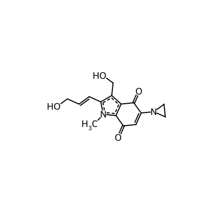 Cn1c(C=CCO)c(CO)c2c1C(=O)C=C(N1CC1)C2=O